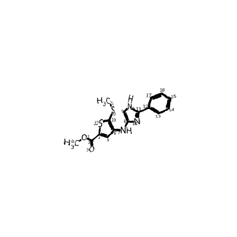 COC(=O)c1cc(Nc2c[nH]c(-c3ccccc3)n2)c(SC)s1